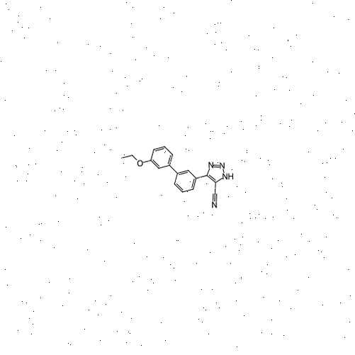 CCOc1cccc(-c2cccc(-c3nn[nH]c3C#N)c2)c1